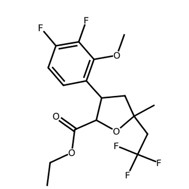 CCOC(=O)C1OC(C)(CC(F)(F)F)CC1c1ccc(F)c(F)c1OC